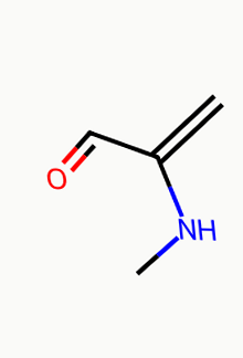 C=C(C=O)NC